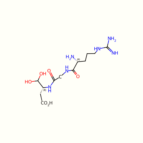 N=C(N)NCCC[C@@H](N)C(=O)NCC(=O)N[C@H](CC(=O)O)C(O)O